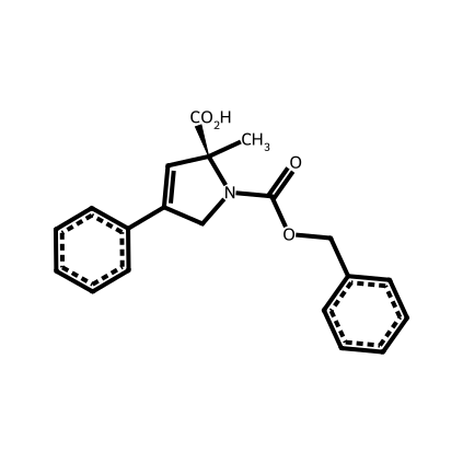 C[C@@]1(C(=O)O)C=C(c2ccccc2)CN1C(=O)OCc1ccccc1